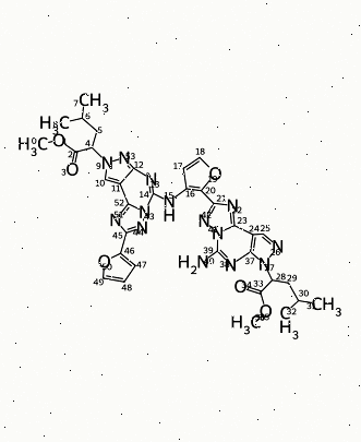 COC(=O)C(CC(C)C)n1cc2c(nc(Nc3ccoc3-c3nc4c5cnn(C(CC(C)C)C(=O)OC)c5nc(N)n4n3)n3nc(-c4ccco4)nc23)n1